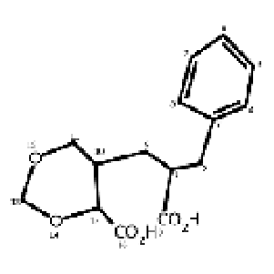 O=C(O)C(Cc1ccccc1)CC1COCOC1C(=O)O